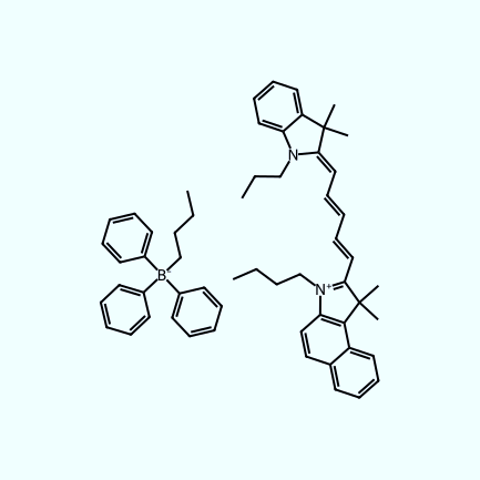 CCCC[B-](c1ccccc1)(c1ccccc1)c1ccccc1.CCCC[N+]1=C(/C=C/C=C/C=C2\N(CCC)c3ccccc3C2(C)C)C(C)(C)c2c1ccc1ccccc21